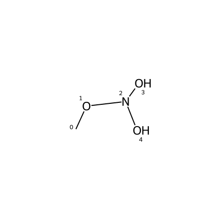 CON(O)O